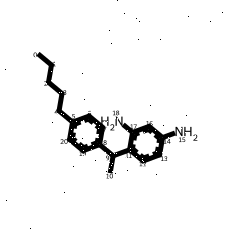 CCCCCc1ccc(C(C)c2ccc(N)cc2N)cc1